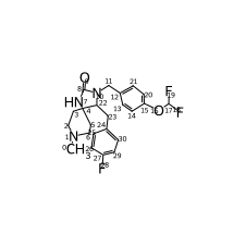 CN1CCC2(CC1)NC(=O)N(Cc1ccc(OC(F)F)cc1)C2Cc1ccc(F)cc1